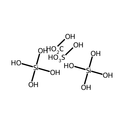 O=C(O)O.O=S(=O)(O)O.O[Si](O)(O)O.O[Si](O)(O)O